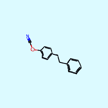 N#COc1ccc(CCc2ccccc2)cc1